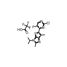 Cc1c(-c2nc(Cl)ncc2F)sc2c1nc(C)n2C(C)C.O=C(O)C(F)(F)F